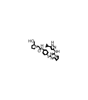 O=C(CN1CCCC1CO)Nc1ccc(Sc2nc(Nc3cc(C4CC4)[nH]n3)n3cccc3n2)cc1